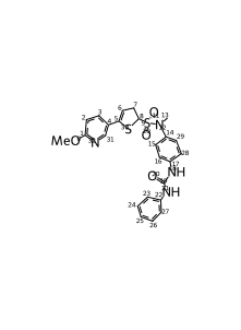 COc1ccc(C2=CCC(S(=O)(=O)N(C)c3ccc(NC(=O)Nc4ccccc4)cc3)S2)cn1